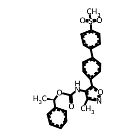 Cc1noc(-c2ccc(-c3ccc(S(C)(=O)=O)cc3)cc2)c1NC(=O)O[C@H](C)c1ccccc1